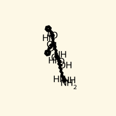 N=C(N)NCCCCCCC(O)CC(=O)NCC(=O)NCCCCN(CCCNC(=O)OCc1ccccc1)C(=O)OCc1ccccc1